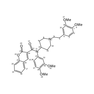 COc1ccc(CCN2CCC(N(C(=O)c3cc4ccccc4oc3=O)c3ccc(OC)c(OC)c3)CC2)cc1OC